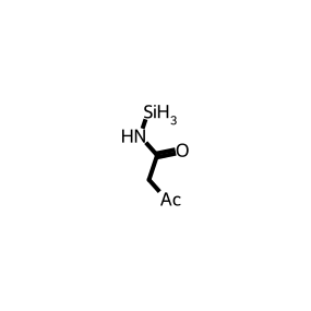 CC(=O)CC(=O)N[SiH3]